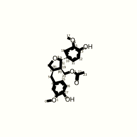 COc1cc(C[C@H]2CO[C@H](c3ccc(O)c(OC)c3)[C@H]2COC(C)=O)ccc1O